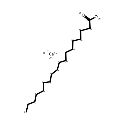 CCCCCCCCCCCCCCCCCC(=O)[O-].[Ca+2].[I-]